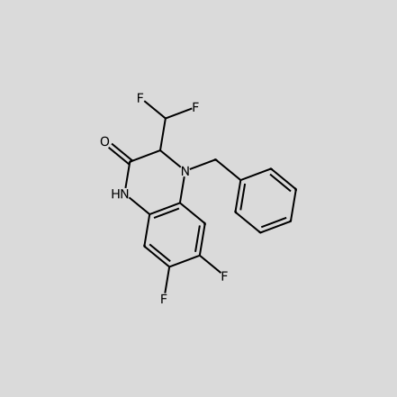 O=C1Nc2cc(F)c(F)cc2N(Cc2ccccc2)C1C(F)F